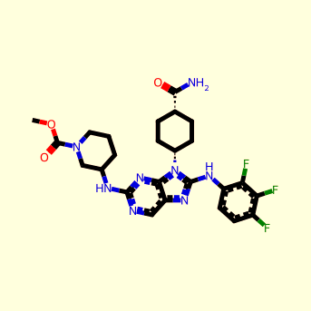 COC(=O)N1CCCC(Nc2ncc3nc(Nc4ccc(F)c(F)c4F)n([C@H]4CC[C@@H](C(N)=O)CC4)c3n2)C1